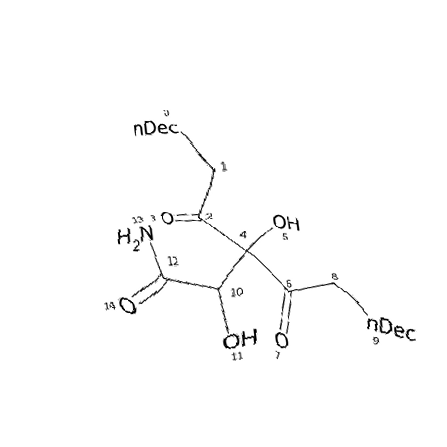 CCCCCCCCCCCC(=O)C(O)(C(=O)CCCCCCCCCCC)C(O)C(N)=O